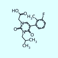 Cc1c(F)cccc1-c1cn(CC(=O)O)c(=O)n(CC(C)C)c1=O